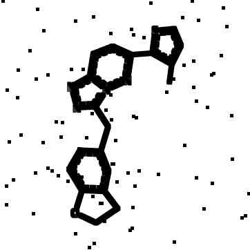 Cc1ccsc1-c1ccc2nnc(Cc3ccc4c(c3)CCO4)n2n1